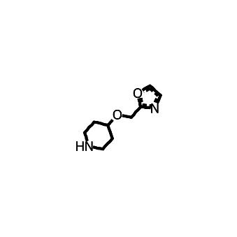 c1coc(COC2CCNCC2)n1